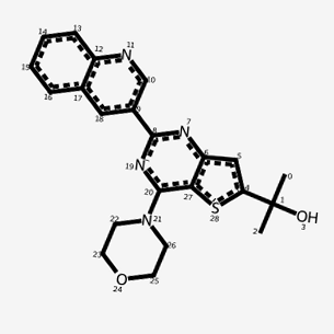 CC(C)(O)c1cc2nc(-c3cnc4ccccc4c3)nc(N3CCOCC3)c2s1